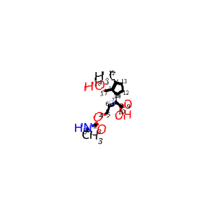 CNC(=O)OC/C=C(\C(=O)O)[C@H]1CCC(C)=C1CO